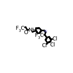 O=C(CC(F)(F)F)NCc1ccc(/C=C\C(c2cc(Cl)c(Cl)c(Cl)c2)C(F)(F)F)cc1